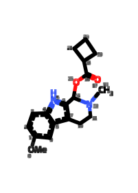 COc1ccc2[nH]c3c(c2c1)CCN(C)C3OC(=O)C1CCC1